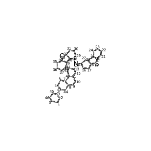 c1ccc(-c2ccc3c(ccc4cc(N(c5ccc6sc7ccccc7c6c5)c5cccc6oc7ccccc7c56)ccc43)c2)cc1